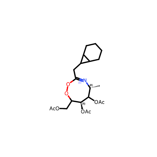 CC(=O)OCC1OO/C(CC2C3CCCCC32)=N\[C@H](C)C(OC(C)=O)[C@H]1OC(C)=O